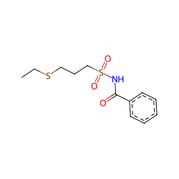 CCSCCCS(=O)(=O)NC(=O)c1ccccc1